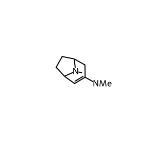 CNC1=CC2CCC(C1)N2C